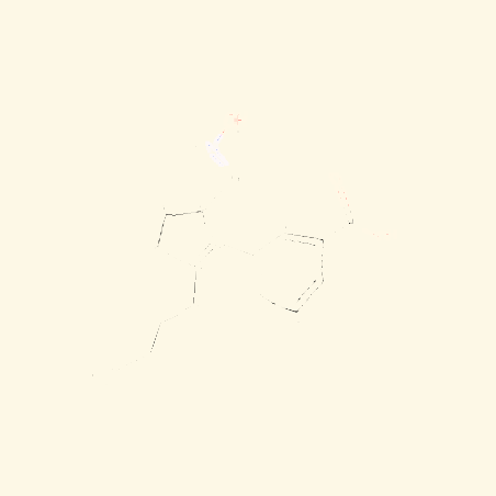 CCCCC1=C(c2cccc(C(=O)O)c2)C(C=NO)CC1